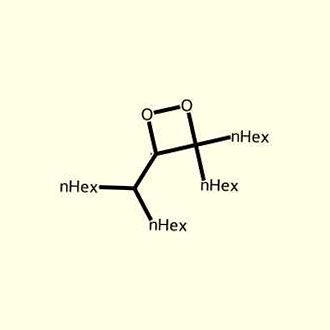 CCCCCCC(CCCCCC)[C]1OOC1(CCCCCC)CCCCCC